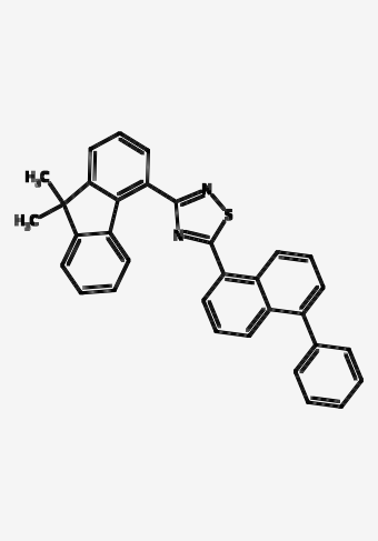 CC1(C)c2ccccc2-c2c(-c3nsc(-c4cccc5c(-c6ccccc6)cccc45)n3)cccc21